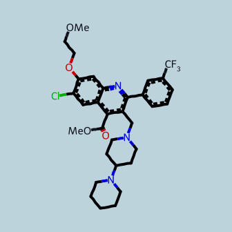 COCCOc1cc2nc(-c3cccc(C(F)(F)F)c3)c(CN3CCC(N4CCCCC4)CC3)c(C(=O)OC)c2cc1Cl